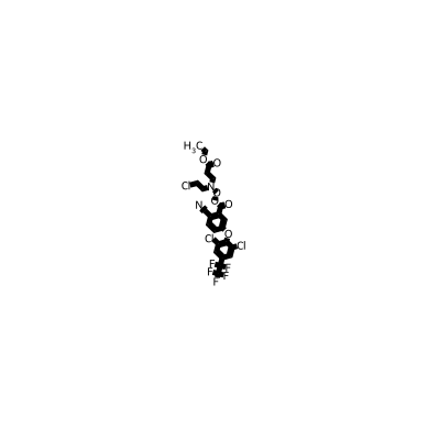 CCOC(=O)CCN(CCCl)OOC(=O)c1cc(Oc2c(Cl)cc(C(F)(F)C(F)(F)F)cc2Cl)ccc1C#N